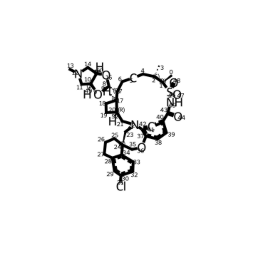 C[C@@H]1[C@@H](C)CCC[C@@H](C2O[C@H]3CN(C)C[C@H]3O2)[C@@H]2CC[C@H]2CN2C[C@@]3(CCCc4cc(Cl)ccc43)COc3ccc(cc32)C(=O)NS1(=O)=O